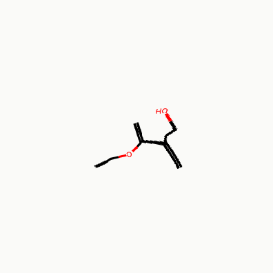 C=C(CO)C(=C)OCC